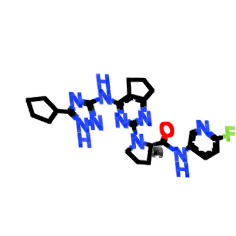 O=C(Nc1ccc(F)nc1)[C@H]1CCCN1c1nc2c(c(Nc3n[nH]c(C4CCCC4)n3)n1)CCC2